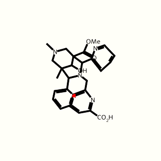 COC(=O)C12CN(C)CC(C)(C(c3ccccn3)N(Cc3cccc(C(=O)O)n3)C1c1ccccn1)C2O